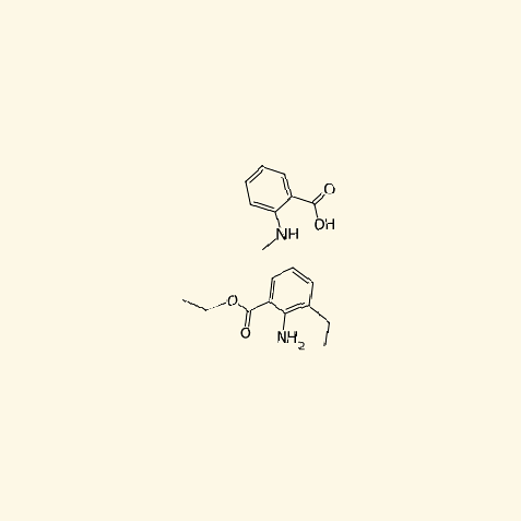 CCOC(=O)c1cccc(CC)c1N.CNc1ccccc1C(=O)O